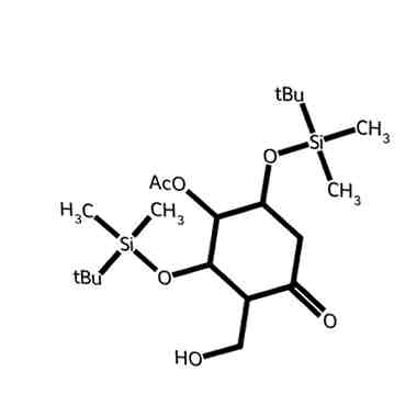 CC(=O)OC1C(O[Si](C)(C)C(C)(C)C)CC(=O)C(CO)C1O[Si](C)(C)C(C)(C)C